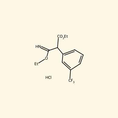 CCOC(=N)C(C(=O)OCC)c1cccc(C(F)(F)F)c1.Cl